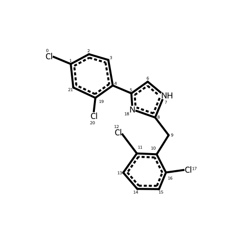 Clc1ccc(-c2c[nH]c(Cc3c(Cl)cccc3Cl)n2)c(Cl)c1